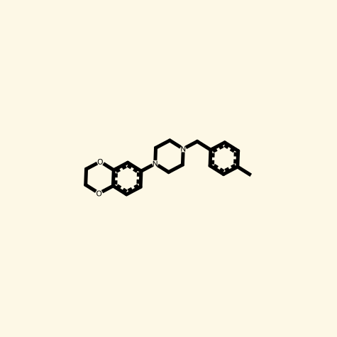 Cc1ccc(CN2CCN(c3ccc4c(c3)OCCO4)CC2)cc1